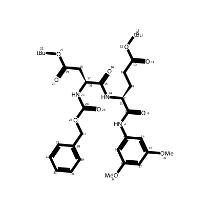 COc1cc(NC(=O)[C@H](CCC(=O)OC(C)(C)C)NC(=O)[C@H](CC(=O)OC(C)(C)C)NC(=O)OCc2ccccc2)cc(OC)c1